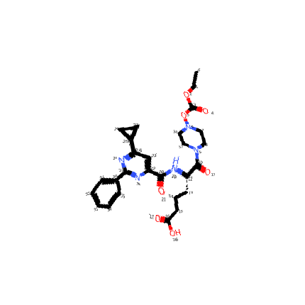 CCOC(=O)ON1CCN(C(=O)[C@H](CCCC(=O)O)NC(=O)c2cc(C3CC3)nc(-c3ccccc3)n2)CC1